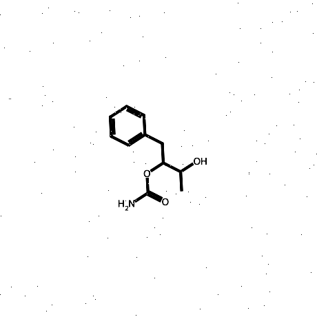 CC(O)C(Cc1ccccc1)OC(N)=O